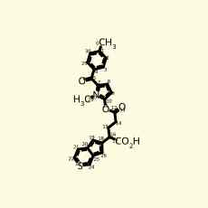 Cc1ccc(C(=O)c2ccc(OC(=O)CCC(C(=O)O)c3cc4ccscc-4c3)n2C)cc1